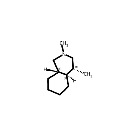 C[C@H]1CN(C)C[C@H]2CCCC[C@@H]21